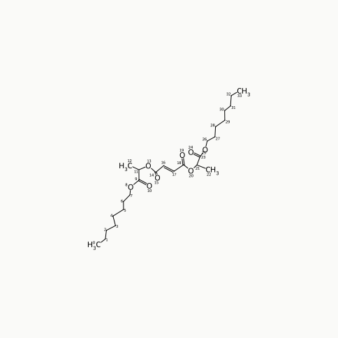 CCCCCCCCOC(=O)C(C)OC(=O)/C=C/C(=O)OC(C)C(=O)OCCCCCCCC